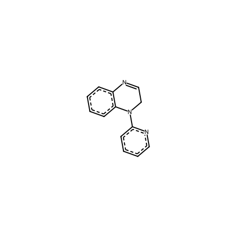 C1=Nc2ccccc2N(c2ccccn2)C1